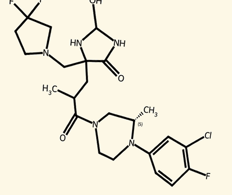 CC(CC1(CN2CCC(F)(F)C2)NC(O)NC1=O)C(=O)N1CCN(c2ccc(F)c(Cl)c2)[C@@H](C)C1